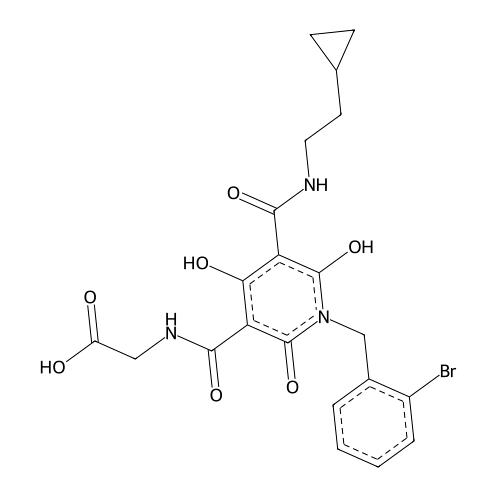 O=C(O)CNC(=O)c1c(O)c(C(=O)NCCC2CC2)c(O)n(Cc2ccccc2Br)c1=O